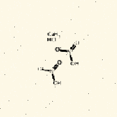 Cl.O=[N+]([O-])O.O=[N+]([O-])O.[CaH2]